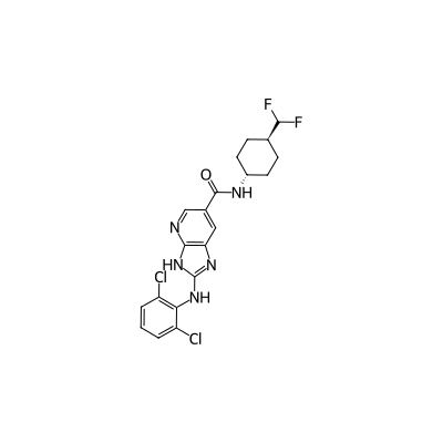 O=C(N[C@H]1CC[C@H](C(F)F)CC1)c1cnc2[nH]c(Nc3c(Cl)cccc3Cl)nc2c1